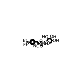 CCN(CC)c1ccc(/C=C(\C#N)S(=O)(=O)NC[C@H]2OC[C@H](O)[C@@H](O)[C@@H]2O)cc1